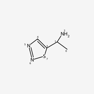 CC(N)c1[c]nns1